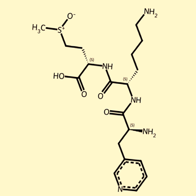 C[S+]([O-])CC[C@H](NC(=O)[C@H](CCCCN)NC(=O)[C@@H](N)Cc1cccnc1)C(=O)O